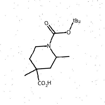 CC1CC(C)(C(=O)O)CCN1C(=O)OC(C)(C)C